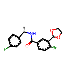 C[C@@H](NC(=O)c1ccc(Br)c(C2OCCO2)c1)c1ccc(F)cc1